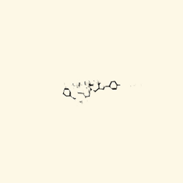 CCCCCc1ccc(-c2cc3cn(C4CC(OC(=O)OCc5ccccc5)C(CO[Si](C)(C)C(C)(C)C)O4)c(=O)nc3o2)cc1